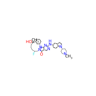 CN1CCC(n2ccc3cc(Nc4ncc5c(=O)n6n(c5n4)-c4cccc(c4)[C@](C)(O)CCCC(F)C6)ccc32)CC1